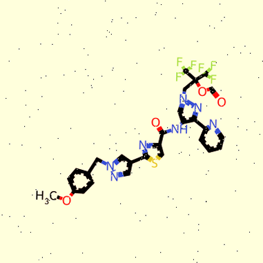 COc1ccc(Cn2cc(-c3nc(C(=O)Nc4cn(CC(OC=O)(C(F)(F)F)C(F)(F)F)nc4-c4ccccn4)cs3)cn2)cc1